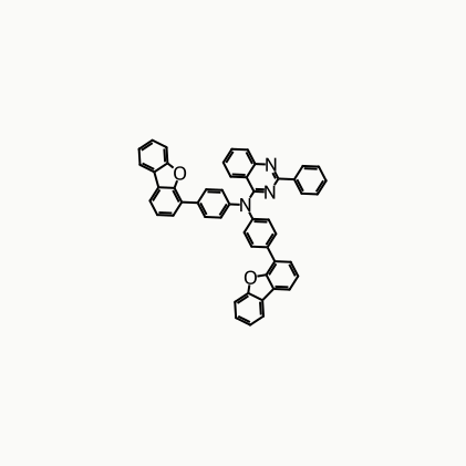 c1ccc(-c2nc(N(c3ccc(-c4cccc5c4oc4ccccc45)cc3)c3ccc(-c4cccc5c4oc4ccccc45)cc3)c3ccccc3n2)cc1